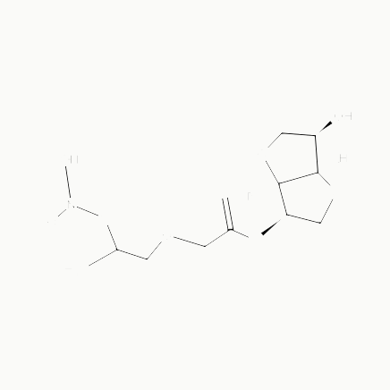 CC(COCC(=O)O[C@@H]1CO[C@H]2[C@@H]1OC[C@H]2O)ON(O)O